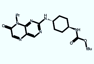 CC(C)n1c(=O)cnc2cnc(N[C@H]3CC[C@H](NC(=O)OC(C)(C)C)CC3)nc21